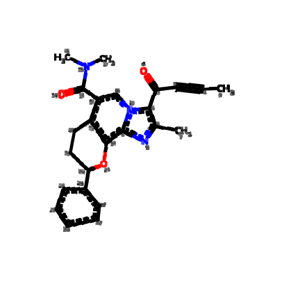 CC#CC(=O)c1c(C)nc2c3c(c(C(=O)N(C)C)cn12)CCC(c1ccccc1)O3